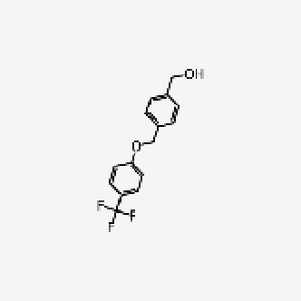 OCc1ccc(COc2ccc(C(F)(F)F)cc2)cc1